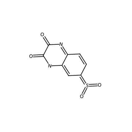 O=C1[N]C2=CC(=S(=O)=O)C=CC2=NC1=O